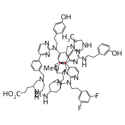 CCNC1CC2CC(N(CCc3cc(F)cc(F)c3)c3nccc(-c4cc(CN5CCNC[C@@H]5C)c(N(CCc5ccc(O)cc5)c5nccc(-c6cccc(CN7CCNC(CCC(=O)O)C7)c6)n5)cc4OC)n3)C(C1)N2Cc1cccc(-c2ccnc(NCCc3cccc(O)c3)n2)c1